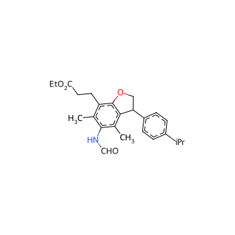 CCOC(=O)CCc1c(C)c(NC=O)c(C)c2c1OCC2c1ccc(C(C)C)cc1